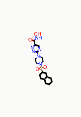 O=C(NO)c1cnc(N2CCN(S(=O)(=O)c3ccc4ccccc4c3)CC2)nn1